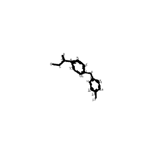 CCC(C)c1ccc(Cc2ccc(C)cc2)cc1